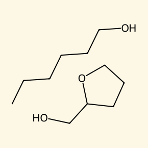 CCCCCCO.OCC1CCCO1